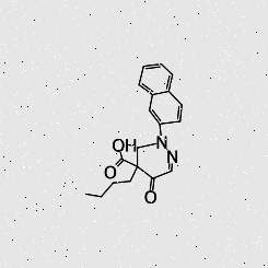 CCCCC1(C(=O)O)CN(c2ccc3ccccc3c2)N=CC1=O